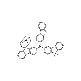 CC1(C)c2ccccc2-c2cc(N(c3ccc4c(c3)C3(c5ccccc5-4)C4CC5CC(C4)CC3C5)c3ccc4c(c3)sc3ccccc34)ccc21